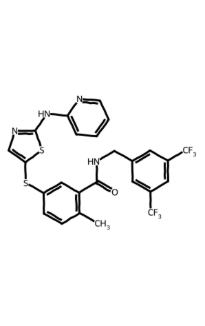 Cc1ccc(Sc2cnc(Nc3ccccn3)s2)cc1C(=O)NCc1cc(C(F)(F)F)cc(C(F)(F)F)c1